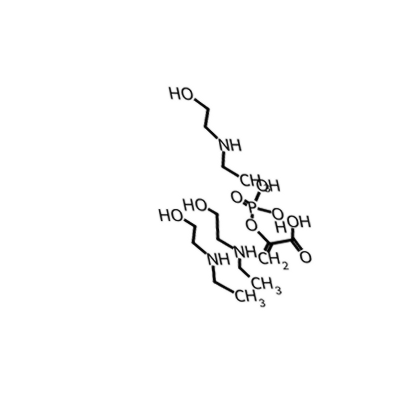 C=C(OP(=O)(O)O)C(=O)O.CCNCCO.CCNCCO.CCNCCO